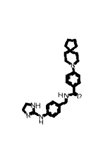 O=C(NCc1ccc(NC2=NCCN2)cc1)c1ccc(N2CCC3(CCCC3)CC2)cc1